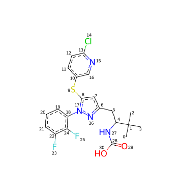 CC(C)(C)C(Cc1cc(Sc2ccc(Cl)nc2)n(-c2cccc(F)c2F)n1)NC(=O)O